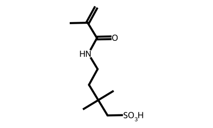 C=C(C)C(=O)NCCC(C)(C)CS(=O)(=O)O